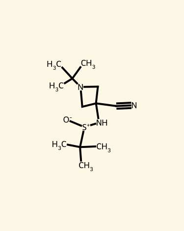 CC(C)(C)N1CC(C#N)(N[S+]([O-])C(C)(C)C)C1